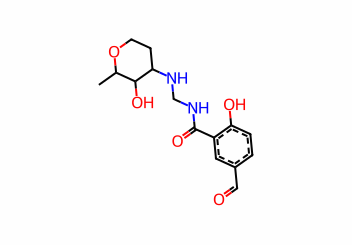 CC1OCCC(NCNC(=O)c2cc(C=O)ccc2O)C1O